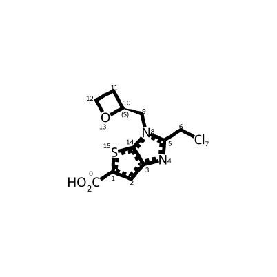 O=C(O)c1cc2nc(CCl)n(C[C@@H]3CCO3)c2s1